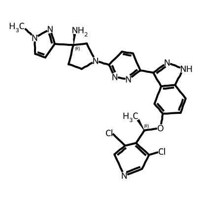 C[C@@H](Oc1ccc2[nH]nc(-c3ccc(N4CC[C@](N)(c5ccn(C)n5)C4)nn3)c2c1)c1c(Cl)cncc1Cl